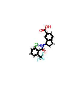 O=C(O)c1ccc2c(c1)C(NC(=O)c1c(Cl)cccc1C(F)(F)F)CC2